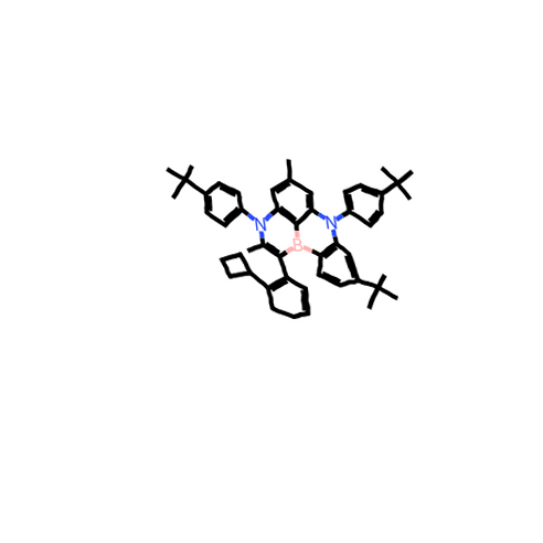 CC1=C(C2=C(C3CCC3)CCC=C2)B2c3ccc(C(C)(C)C)cc3N(c3ccc(C(C)(C)C)cc3)c3cc(C)cc(c32)N1c1ccc(C(C)(C)C)cc1